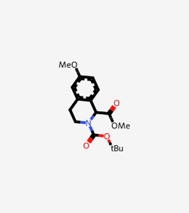 COC(=O)C1c2ccc(OC)cc2CCN1C(=O)OC(C)(C)C